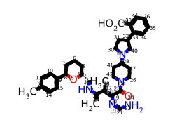 C=C(NC[C@H]1CCCC(c2ccc(C)cc2)O1)/C(C)=C(\N=C/N)C(=O)N1CCC(N2CCC(c3ccccc3C(=O)O)C2)CC1